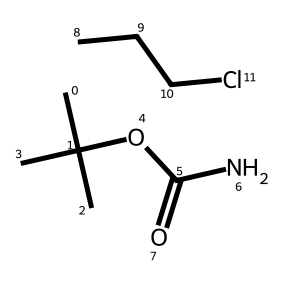 CC(C)(C)OC(N)=O.CCCCl